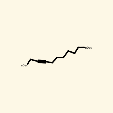 [CH2]CCCCCCCCCCC#CCCCCCCCCCCCCCCC[CH2]